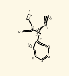 C=CN(C([O])=O)c1ccccc1